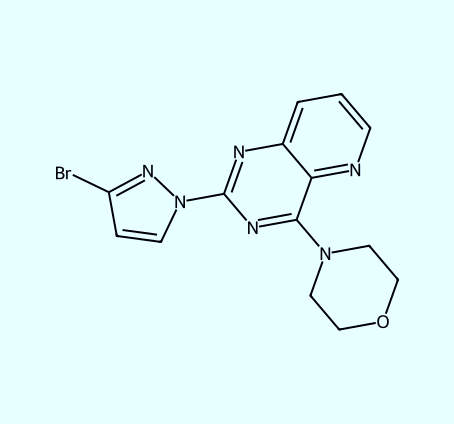 Brc1ccn(-c2nc(N3CCOCC3)c3ncccc3n2)n1